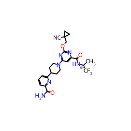 C[C@H](NC(=O)c1cc(N2CCC(c3cccc(C(N)=O)n3)CC2)nc(OCC2(C#N)CC2)n1)C(F)(F)F